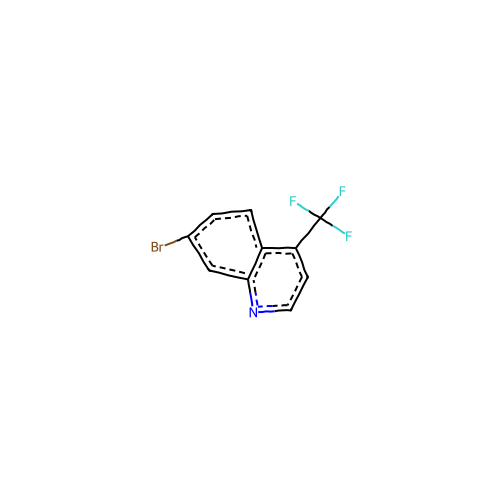 FC(F)(F)c1ccnc2cc(Br)ccc12